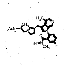 CC(=O)N[C@@H](C)CN1CC[C@H](Cc2cn(-c3ccc(F)cc3C(=O)N(C)C(C)C)c3cncc(C)c23)C1